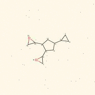 C1CC1C1CC(C2CO2)C(C2CO2)C1